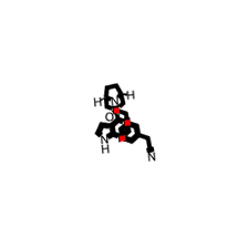 N#CCc1cccc(CC(=O)N2[C@@H]3CC[C@@H]2CN(c2ncnc4[nH]ccc24)C3)c1